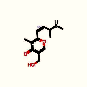 CBC(C)/C=C\c1occ(CO)c(=O)c1C